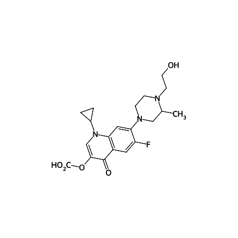 CC1CN(c2cc3c(cc2F)c(=O)c(OC(=O)O)cn3C2CC2)CCN1CCO